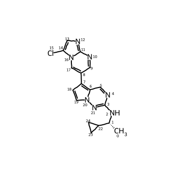 C[C@@H](Nc1ncc2c(-c3cnc4ncc(Cl)n4c3)ccn2n1)C1CC1